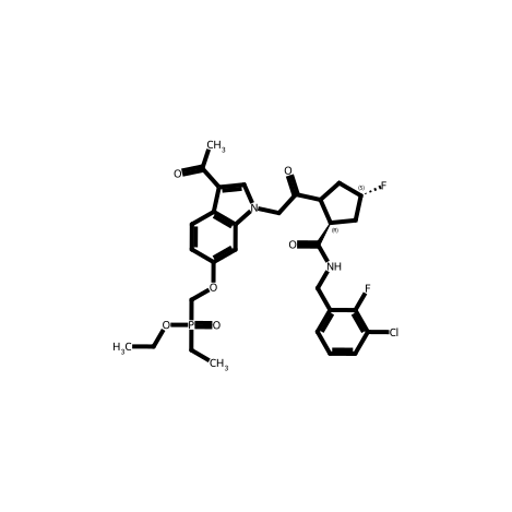 CCOP(=O)(CC)COc1ccc2c(C(C)=O)cn(CC(=O)C3C[C@H](F)C[C@H]3C(=O)NCc3cccc(Cl)c3F)c2c1